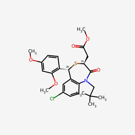 COC(=O)C[C@@H]1S[C@@H](c2ccc(OC)cc2OC)c2cc(Cl)ccc2N(CC(C)(C)C)C1=O